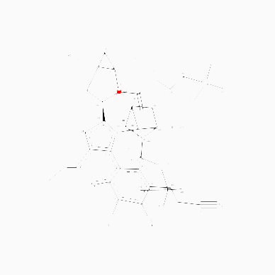 CSc1nc2c(F)c(Br)c(CCC#N)cc2c2c1cc([C@H]1C[C@H]3C[C@H]3N1C(=O)OCC[Si](C)(C)C)n2[C@H]1[C@@H]2C[C@H]1N(C(=O)OC(C)(C)C)C2